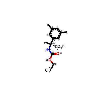 Cc1cc(C)cc([C@](C)(NC(=O)OCC(Cl)(Cl)Cl)C(=O)O)c1